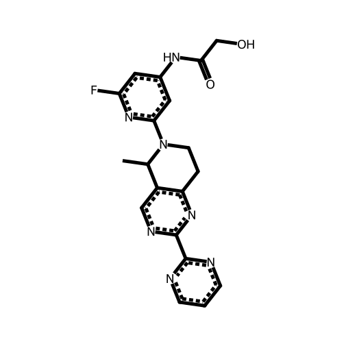 CC1c2cnc(-c3ncccn3)nc2CCN1c1cc(NC(=O)CO)cc(F)n1